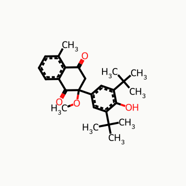 COC1(c2cc(C(C)(C)C)c(O)c(C(C)(C)C)c2)CC(=O)c2c(C)cccc2C1=O